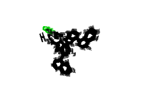 CCC1=Cc2c(-c3cccc4ccccc34)cccc2[CH]1[Ti+2]1([CH]2C(CC)=Cc3c(-c4cccc5ccccc45)cccc32)[CH2]C[CH2]1.[Cl-].[Cl-]